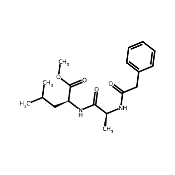 COC(=O)[C@H](CC(C)C)NC(=O)[C@H](C)NC(=O)Cc1ccccc1